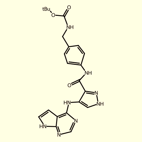 CC(C)(C)OC(=O)NCc1ccc(NC(=O)c2n[nH]cc2Nc2ncnc3[nH]ccc23)cc1